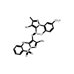 Cc1nn(-c2cc(S(=O)(=O)O)ccc2S(=O)(=O)O)c(/N=N/c2c(C(C)(C)C)nn3c2Nc2ccccc2S3(=O)=O)c1C#N